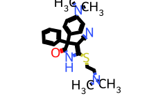 CN(C)CCSC1=C(C#N)C(c2ccccc2)(c2ccc(N(C)C)cc2)C(=O)N1